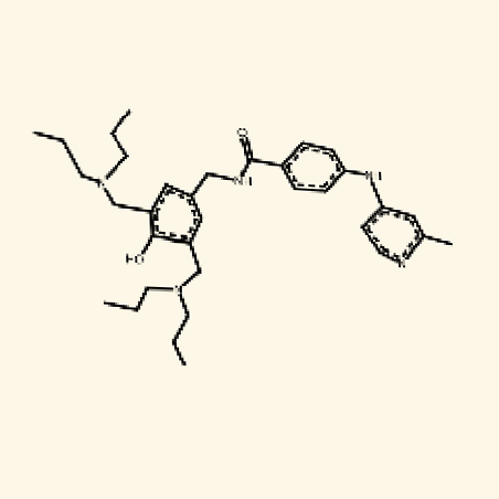 CCCN(CCC)Cc1cc(CNC(=O)c2ccc(Nc3ccnc(C)c3)cc2)cc(CN(CCC)CCC)c1O